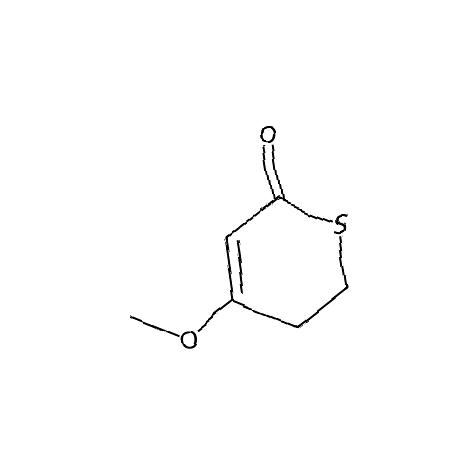 COC1=CC(=O)SCC1